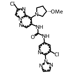 CO[C@H]1CCN(c2c(NC(=O)Nc3cnc(-n4nccn4)c(Cl)c3)cnn3cc(Cl)nc23)C1